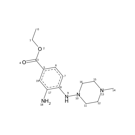 CCOC(=O)c1ccc(NN2CCN(C)CC2)c(N)c1